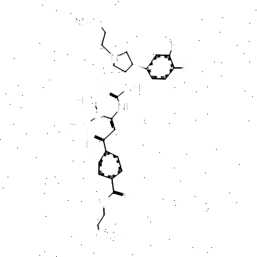 C=C(/C=C(/NC(=O)N[C@@H]1CN(CCOC)C[C@H]1c1ccc(F)c(F)c1)N(C)N)c1ccc(C(=O)OCCOC)cc1